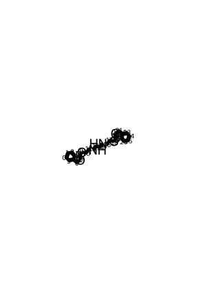 c1ccc2c(c1)COB2OCCNCCNCCOB1OCc2ccccc21